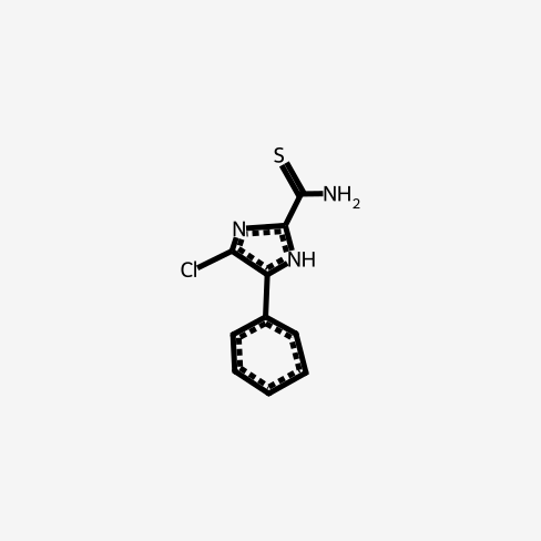 NC(=S)c1nc(Cl)c(-c2ccccc2)[nH]1